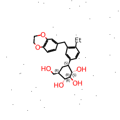 CCc1ccc([C@@H]2C[C@H](CO)[C@@H](O)[C@H](O)[C@H]2O)cc1Cc1ccc2c(c1)OCCO2